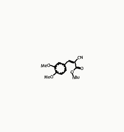 CCCCOC(=O)C(C#N)=Cc1ccc(OC)c(OC)c1